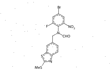 CSc1nc2ccc(CN(C=O)c3c(F)cc(Br)cc3[N+](=O)[O-])cc2s1